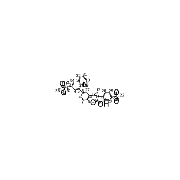 CC(C)(c1cc(-c2cccc(C3CC3(C(=O)O)c3ccc(S(C)(=O)=O)cc3)c2)c2ncccc2c1)S(C)(=O)=O